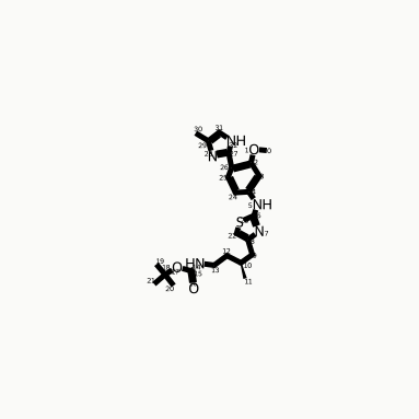 COc1cc(Nc2nc(C[C@@H](C)CCNC(=O)OC(C)(C)C)cs2)ccc1-c1nc(C)c[nH]1